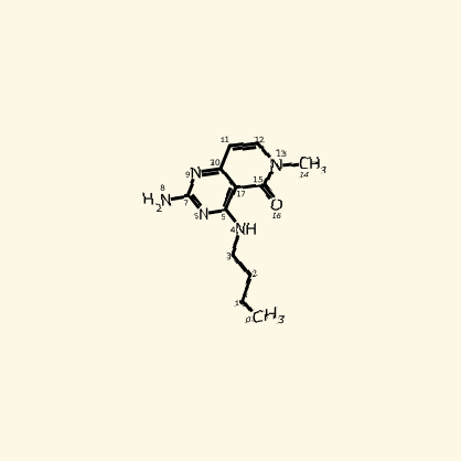 CCCCNc1nc(N)nc2ccn(C)c(=O)c12